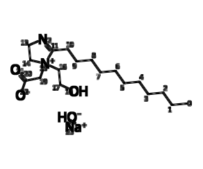 CCCCCCCCCCCC1=NCC[N+]1(CCO)CC(=O)[O-].[Na+].[OH-]